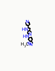 Cn1ncc2ccc(Nc3cc4[nH]c(-c5ccncc5)cc4cn3)cc21